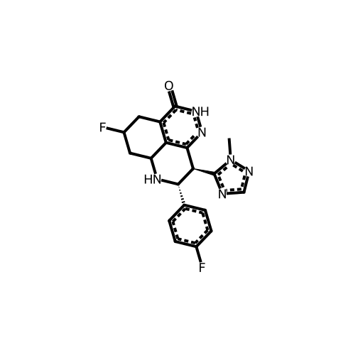 Cn1ncnc1[C@@H]1c2n[nH]c(=O)c3c2C(CC(F)C3)N[C@H]1c1ccc(F)cc1